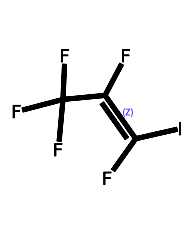 F/C(I)=C(/F)C(F)(F)F